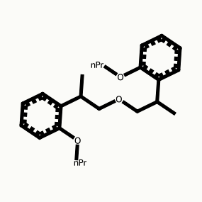 CCCOc1ccccc1C(C)COCC(C)c1ccccc1OCCC